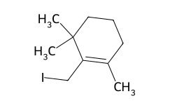 CC1=C(CI)C(C)(C)CCC1